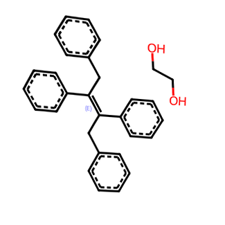 OCCO.c1ccc(C/C(=C(/Cc2ccccc2)c2ccccc2)c2ccccc2)cc1